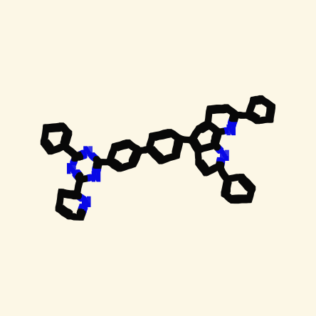 c1ccc(-c2ccc3cc(-c4ccc(-c5ccc(-c6nc(-c7ccccc7)nc(-c7ccccn7)n6)cc5)cc4)c4ccc(-c5ccccc5)nc4c3n2)cc1